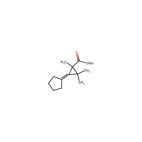 COC(=O)C1(C)C(=C2CCCC2)C1(C)C